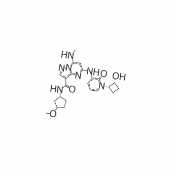 CNc1cc(Nc2cccn([C@H]3CC[C@H]3O)c2=O)nc2c(C(=O)NC3CC[C@@H](OC)C3)cnn12